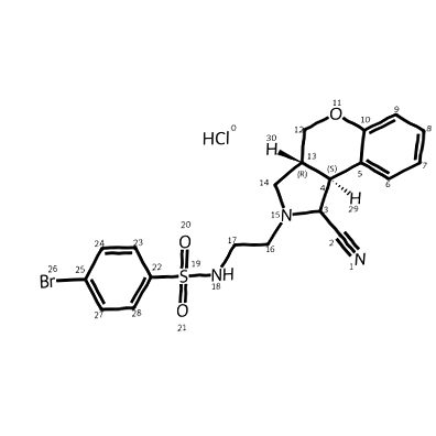 Cl.N#CC1[C@@H]2c3ccccc3OC[C@H]2CN1CCNS(=O)(=O)c1ccc(Br)cc1